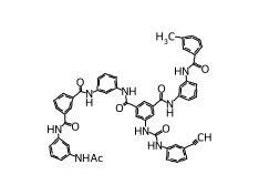 C#Cc1cccc(NC(=O)Nc2cc(C(=O)Nc3cccc(NC(=O)c4cccc(C)c4)c3)cc(C(=O)Nc3cccc(NC(=O)c4cccc(C(=O)Nc5cccc(NC(C)=O)c5)c4)c3)c2)c1